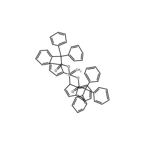 [CH2]=[Ti]([O]C(=O)C(c1ccccc1)(c1ccccc1)c1ccccc1)([O]C(=O)C(c1ccccc1)(c1ccccc1)c1ccccc1)([C]1=CC=CC1)[CH]1C=Cc2ccccc21